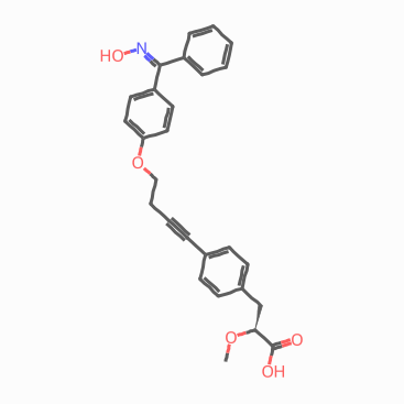 CO[C@@H](Cc1ccc(C#CCCOc2ccc(/C(=N\O)c3ccccc3)cc2)cc1)C(=O)O